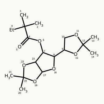 CCC(C)(C)C(=O)OC1C(C2COC(C)(C)O2)OC2OC(C)(C)OC21